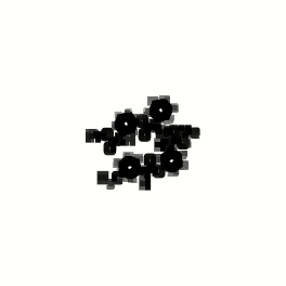 CCN(C(=O)Oc1cccc(NC(=O)OC(C)C)c1)c1ccccc1.COC(=O)Nc1cccc(OC(=O)Nc2cccc(C)c2)c1